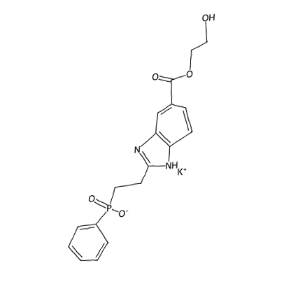 O=C(OCCO)c1ccc2[nH]c(CCP(=O)([O-])c3ccccc3)nc2c1.[K+]